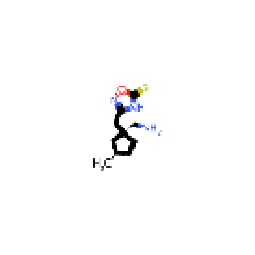 C[C@H]1CC[C@](CN)(Cc2noc(=S)[nH]2)C1